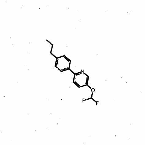 CCCc1ccc(-c2ccc(OC(F)F)cn2)cc1